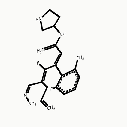 C=CCC(/C=N\N)=C(F)\C(=C/C(=C)NC1CCNC1)c1c(C)cccc1F